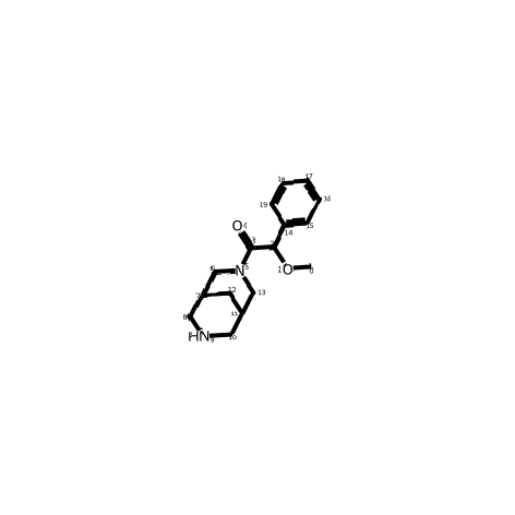 COC(C(=O)N1CC2CNCC(C2)C1)c1ccccc1